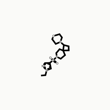 CCn1cc(S(=O)(=O)N2CCC3(CCC3N3CCOCC3)CC2)cn1